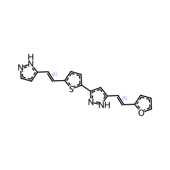 C(=C\c1ccc(-c2cc(/C=C/c3ccco3)[nH]n2)s1)/c1ccn[nH]1